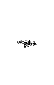 CCOc1cc(-c2nnc(C)o2)ccc1C(=O)NC[C@@H](O)C1Cc2ccc(OC)cc2CN1C(=O)OC(C)(C)C